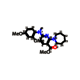 COC(=O)c1ccc(N(C)c2ccc(OC)cc2OC)nc1N1CCCCCC1